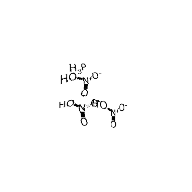 O=[N+]([O-])O.O=[N+]([O-])O.O=[N+]([O-])O.P